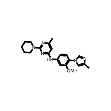 COc1cc(Nc2cc(C)nc(N3CCCCC3)n2)ccc1-n1cnc(C)c1